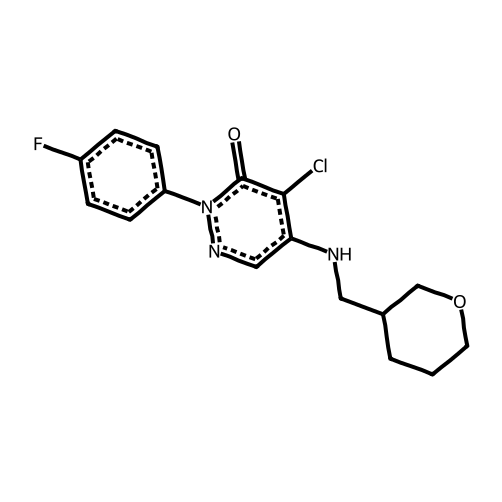 O=c1c(Cl)c(NCC2CCCOC2)cnn1-c1ccc(F)cc1